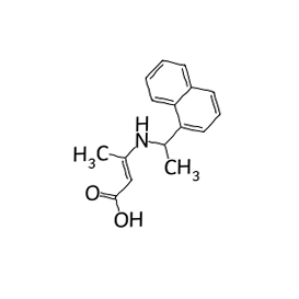 CC(=CC(=O)O)NC(C)c1cccc2ccccc12